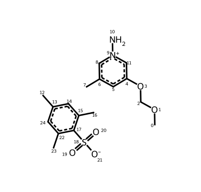 COCOc1cc(C)c[n+](N)c1.Cc1cc(C)c(S(=O)(=O)[O-])c(C)c1